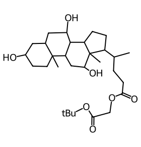 CC(CCC(=O)OCC(=O)OC(C)(C)C)C1CCC2C3C(O)CC4CC(O)CCC4(C)C3CC(O)C12C